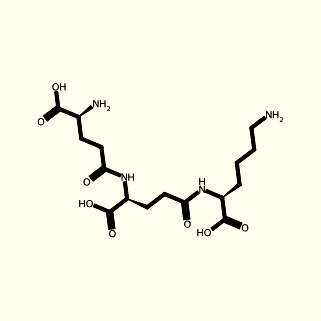 NCCCC[C@H](NC(=O)CC[C@H](NC(=O)CC[C@H](N)C(=O)O)C(=O)O)C(=O)O